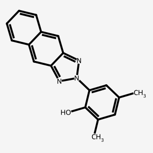 Cc1cc(C)c(O)c(-n2nc3cc4ccccc4cc3n2)c1